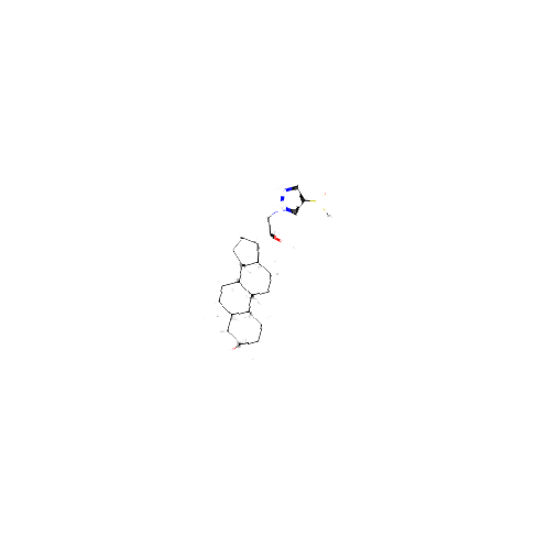 C[S+]([O-])c1cnn(CC(=O)[C@H]2CC[C@H]3[C@@H]4CC[C@@H]5C[C@](C)(O)CC[C@]5(F)[C@H]4CC[C@]23C)c1